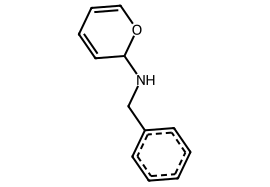 C1=COC(NCc2ccccc2)C=C1